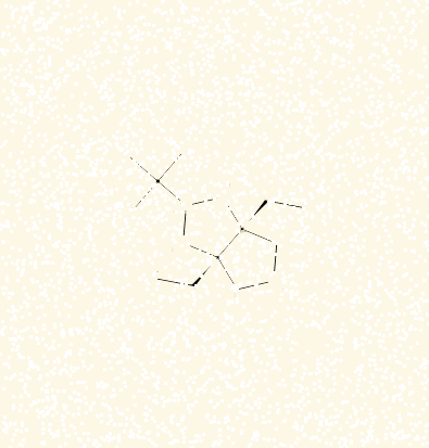 CC[C@@]12CSC[C@]1(CC)OB(C(C)(C)C)O2